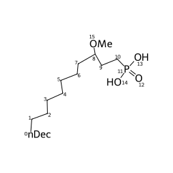 CCCCCCCCCCCCCCCCCC(CCP(=O)(O)O)OC